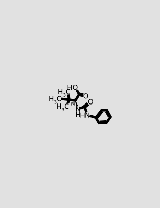 CC(C)(C)[C@H](NC(=O)Nc1ccccc1)C(=O)O